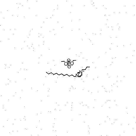 CCCCCCCCCCCCn1cc[n+](CCCC)c1.CCOP(=O)([O-])OCC